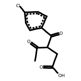 CC(=O)C(CC(=O)O)C(=O)c1ccc(Cl)cc1